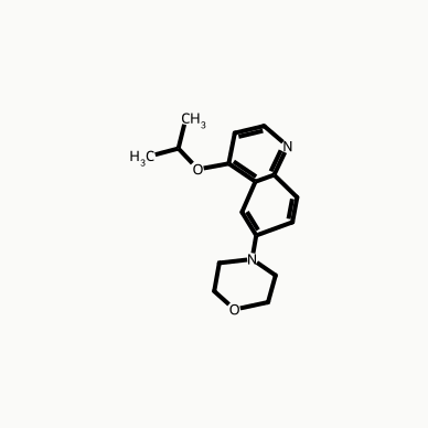 CC(C)Oc1ccnc2ccc(N3CCOCC3)cc12